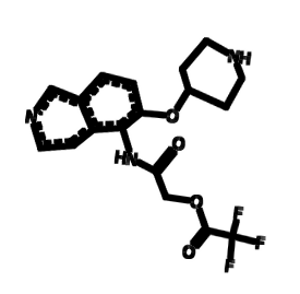 O=C(COC(=O)C(F)(F)F)Nc1c(OC2CCNCC2)ccc2cnccc12